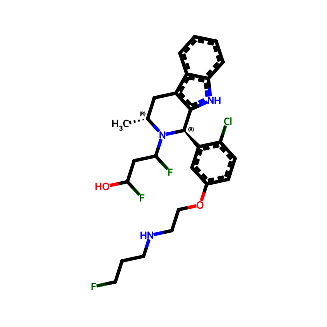 C[C@@H]1Cc2c([nH]c3ccccc23)[C@@H](c2cc(OCCNCCCF)ccc2Cl)N1C(F)CC(O)F